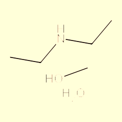 CCNCC.CO.O